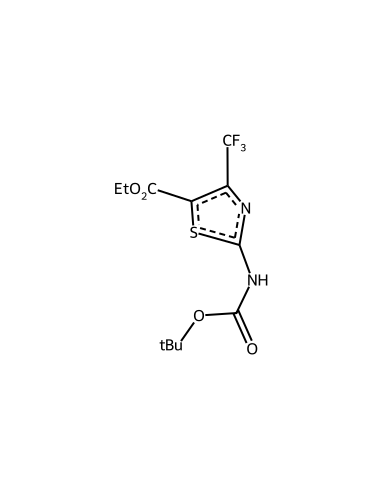 CCOC(=O)c1sc(NC(=O)OC(C)(C)C)nc1C(F)(F)F